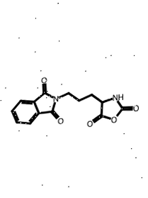 O=C1NC(CCCN2C(=O)c3ccccc3C2=O)C(=O)O1